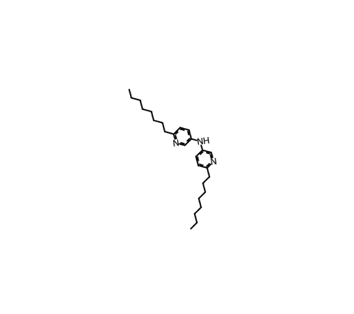 CCCCCCCCc1ccc(Nc2ccc(CCCCCCCC)nc2)cn1